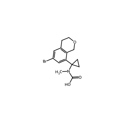 CN(C(=O)O)C1(c2cc(Br)cc3c2COCC3)CC1